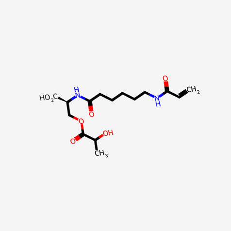 C=CC(=O)NCCCCCC(=O)N[C@@H](COC(=O)C(C)O)C(=O)O